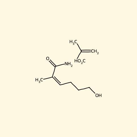 C=C(C)C(=O)O.CC(=CCCCO)C(N)=O